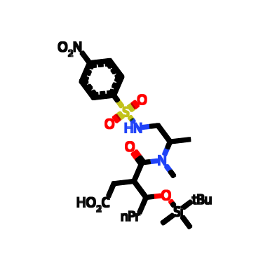 CCCC(O[Si](C)(C)C(C)(C)C)C(CC(=O)O)C(=O)N(C)C(C)CNS(=O)(=O)c1ccc([N+](=O)[O-])cc1